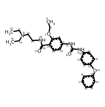 CCOc1cc(NC(=O)Nc2ccc(Oc3ccccc3)cc2)ccc1C(=O)NCCN(CC)CC